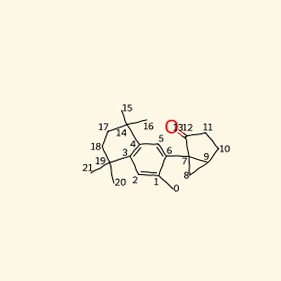 Cc1cc2c(cc1C13CC1CCC3=O)C(C)(C)CCC2(C)C